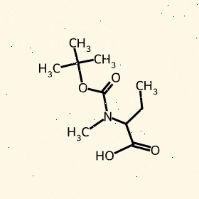 CCC(C(=O)O)N(C)C(=O)OC(C)(C)C